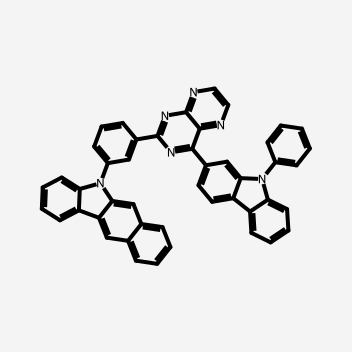 c1ccc(-n2c3ccccc3c3ccc(-c4nc(-c5cccc(-n6c7ccccc7c7cc8ccccc8cc76)c5)nc5nccnc45)cc32)cc1